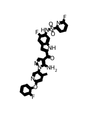 Cc1cc(Oc2ccccc2F)ncc1-n1ncc(C(=O)c2cc3cc(F)c(NS(=O)(=O)c4cccc(F)n4)cc3[nH]2)c1N